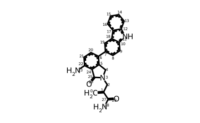 C=C(CN1Cc2c(-c3ccc4[nH]c5ccccc5c4c3)ccc(N)c2C1=O)C(N)=O